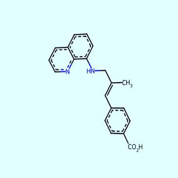 CC(=Cc1ccc(C(=O)O)cc1)CNc1cccc2cccnc12